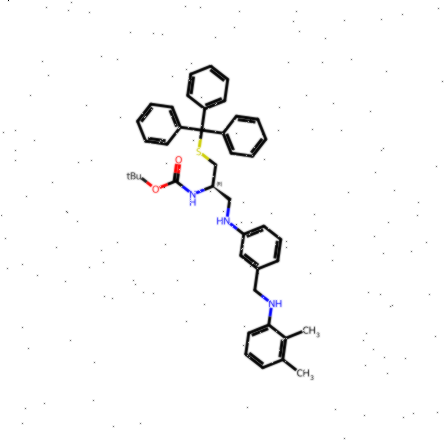 Cc1cccc(NCc2cccc(NC[C@H](CSC(c3ccccc3)(c3ccccc3)c3ccccc3)NC(=O)OC(C)(C)C)c2)c1C